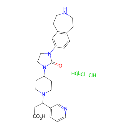 Cl.Cl.Cl.O=C(O)CC(c1cccnc1)N1CCC(N2CCN(c3ccc4c(c3)CCNCC4)C2=O)CC1